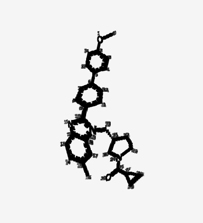 COc1ccc(-c2ccc(-c3nc4ccc(C)cc4n3C[C@@H]3CCN(C(=O)C4CC4)C3)cc2)cc1